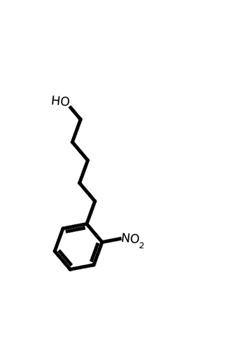 O=[N+]([O-])c1ccccc1CCCCCO